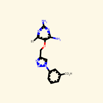 CCc1nc(N)nc(N)c1OCc1cn(-c2cccc(C(=O)O)c2)nn1